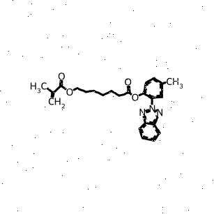 C=C(C)C(=O)OCCCCCCC(=O)Oc1ccc(C)cc1-n1nc2ccccc2n1